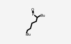 CCC(C)CCCCC(P=O)C(C)CC